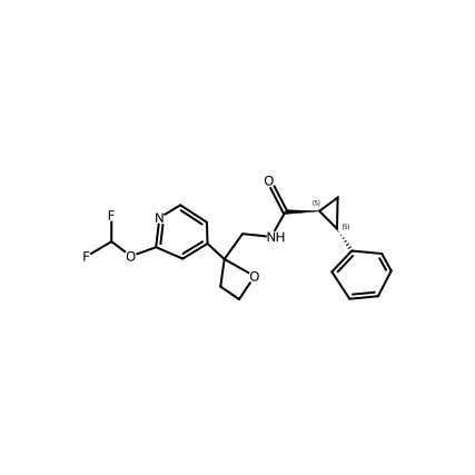 O=C(NCC1(c2ccnc(OC(F)F)c2)CCO1)[C@H]1C[C@@H]1c1ccccc1